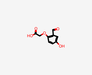 O=Cc1cc(O)ccc1OCC(=O)O